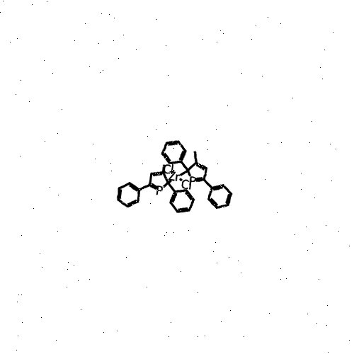 CC1=CC(c2ccccc2)=P[C]1(c1ccccc1)[Zr]([Cl])([Cl])[C]1(c2ccccc2)P=C(c2ccccc2)C=C1C